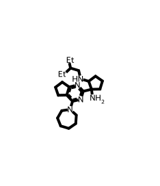 CCC(CC)CNC1CCCC1(N)c1nc2c(c(N3CCCCCC3)n1)CCC2